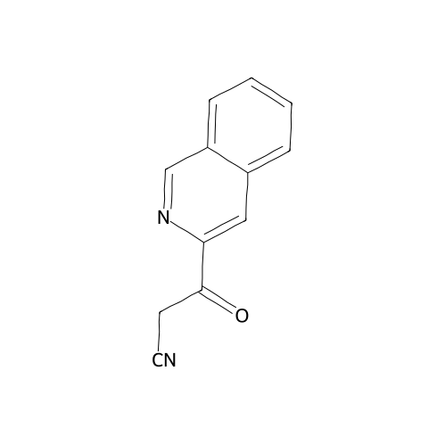 N#CCC(=O)c1cc2ccccc2cn1